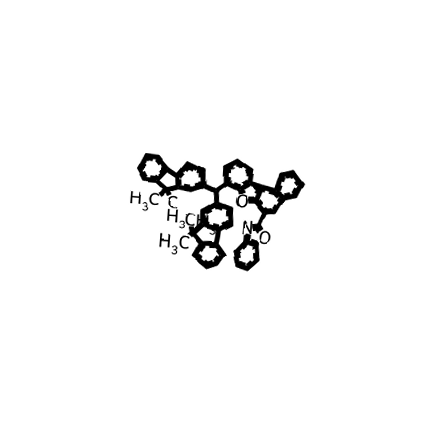 CC1(C)c2ccccc2-c2ccc(C(c3ccc4c(c3)C(C)(C)c3ccccc3-4)c3cccc4c3oc3c(-c5nc6ccccc6o5)cc5ccccc5c34)cc21